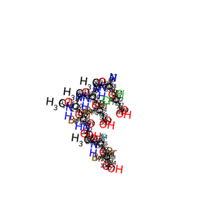 CCC(=O)Nc1cc(C#N)cc(COc2c(Br)cc(C(=O)NCC(=O)O)cc2Br)c1.CCC(=O)Nc1cc(C#N)cc(COc2c(Br)cc(CCC(=O)O)cc2Br)c1.CCC(=O)Nc1cc(C#N)cc(COc2c(Cl)cc(CCC(=O)O)cc2Cl)c1.CCC(=O)Nc1cc(F)cc(COc2c(Br)cc(CC(=O)O)cc2Br)c1